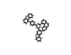 c1ccc2c(c1)ccc1cccc(-c3nc(-c4ccc(-c5cccc6oc7ccccc7c56)cc4)nc(-c4ccc5c(c4)sc4ccccc45)n3)c12